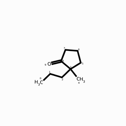 CCCC1(C)CCCC1=O